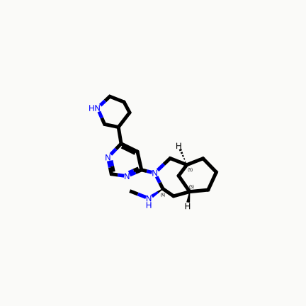 CN[C@@H]1C[C@H]2CCC[C@@H](C2)CN1c1cc(C2CCCNC2)ncn1